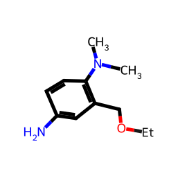 CCOCc1cc(N)ccc1N(C)C